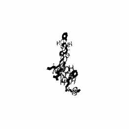 C=CS(=O)(=O)CCN(C)CCC(=O)N1[C@H]2CC[C@@H](C2)[C@H]1C(=O)N[C@H](C(=O)N(C)[C@@H]([C@@H](C)CC)[C@@H](CC(=O)N1CCC[C@H]1[C@H](OC)[C@@H](C)C(=O)N[C@@H](Cc1ccccc1)C(=O)O)OC)C(C)C